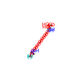 O=C(CN1CCC[C@H](OCc2cc(C(F)(F)F)cc(C(F)(F)F)c2)[C@@H]1c1ccccc1)NCCOCCOCCOCCOCCOCCOCCOCCOCCOCCOCCOCCNC(=S)Nc1ccc(-c2c3ccc(=O)cc-3oc3cc(O)ccc23)c(C(=O)O)c1